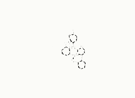 COc1cc(N=Nc2ccccc2-c2ccnc(Nc3ccc(C(F)(F)F)cc3)n2)ccc1C(=O)O